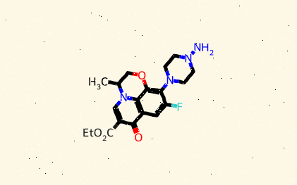 CCOC(=O)c1cn2c3c(c(N4CCN(N)CC4)c(F)cc3c1=O)OCC2C